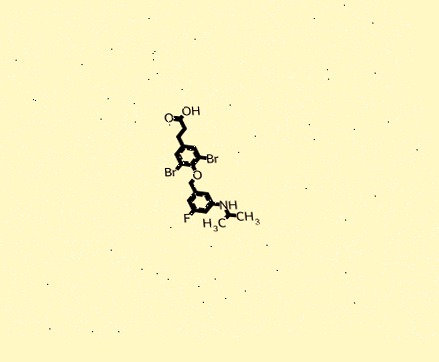 CC(C)Nc1cc(F)cc(COc2c(Br)cc(CCC(=O)O)cc2Br)c1